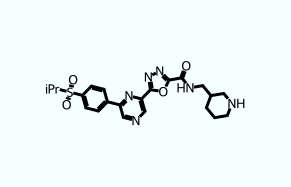 CC(C)S(=O)(=O)c1ccc(-c2cncc(-c3nnc(C(=O)NCC4CCCNC4)o3)n2)cc1